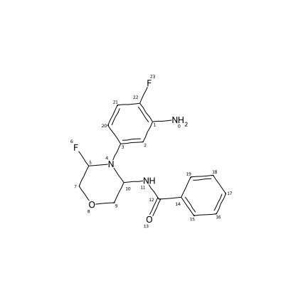 Nc1cc(N2C(F)COCC2NC(=O)c2ccccc2)ccc1F